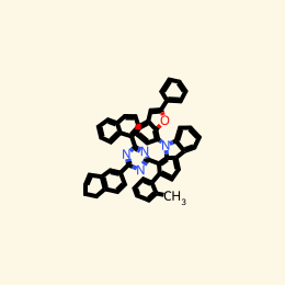 Cc1ccccc1-c1ccc2c3ccccc3n(-c3cccc4cc(-c5ccccc5)oc34)c2c1-c1nc(-c2ccc3c(c2)C=CCC3)nc(-c2cccc3ccccc23)n1